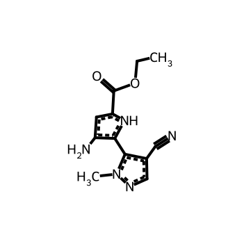 CCOC(=O)c1cc(N)c(-c2c(C#N)cnn2C)[nH]1